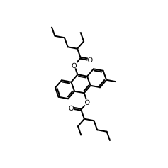 CCCCC(CC)C(=O)Oc1c2ccccc2c(OC(=O)C(CC)CCCC)c2cc(C)ccc12